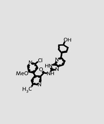 COc1cnc(Cl)cc1-c1cc(C)ncc1C(=O)Nc1nc2ccc(C3=CCC(O)CC3)nc2[nH]1